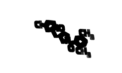 Cc1ccc(C)c(C(=O)N2C[C@@H](Cc3cccc(Cl)c3)[C@H](O)C2)c1